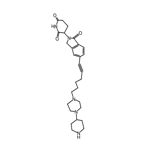 O=C1CCC(N2Cc3cc(C#CCCCCN4CCN(C5CCNCC5)CC4)ccc3C2=O)C(=O)N1